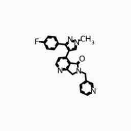 Cn1cc(-c2ccnc3c2C(=O)N(Cc2cccnc2)C3)c(-c2ccc(F)cc2)n1